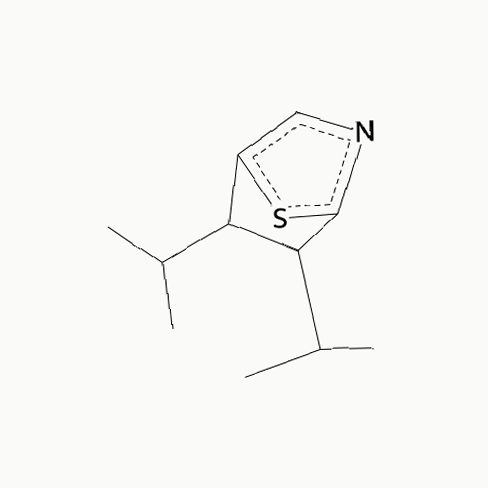 CC(C)C1c2cnc(s2)C1C(C)C